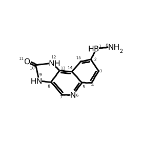 NBc1ccc2ncc3[nH]c(=O)[nH]c3c2c1